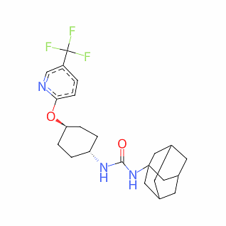 O=C(NC12CC3CC(CC(C3)C1)C2)N[C@H]1CC[C@H](Oc2ccc(C(F)(F)F)cn2)CC1